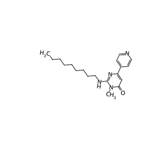 CCCCCCCCCNc1nc(-c2ccncc2)cc(=O)n1C